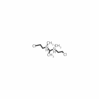 CC([SiH](C)CCCl)[SiH](C)CCCl